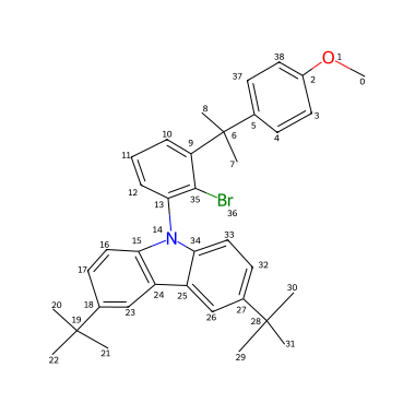 COc1ccc(C(C)(C)c2cccc(-n3c4ccc(C(C)(C)C)cc4c4cc(C(C)(C)C)ccc43)c2Br)cc1